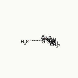 CCCCCCCCCCCCCCCOC(=O)c1cc2nc3c(C(=O)NCC(C)NC)c(O)c4ccccc4c3nc2cc1OC